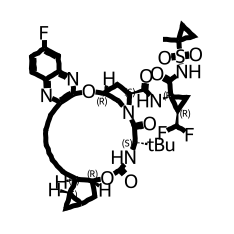 CC(C)(C)[C@@H]1NC(=O)O[C@@H]2CC3C[C@@H]3[C@H]2CCCCCc2nc3ccc(F)cc3nc2O[C@@H]2C[C@@H](C(=O)N[C@]3(C(=O)NS(=O)(=O)C4(C)CC4)C[C@H]3C(F)F)N(C2)C1=O